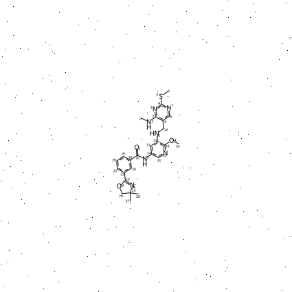 CNc1nc(SC)ncc1CNc1cc(NC(=O)c2cccc(C3=NC(C)(C)CO3)c2)cnc1OC